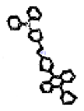 C1=CC(N(c2ccccc2)c2ccc(/C=C/C3C=CC(c4c5ccccc5c(-c5ccccc5)c5ccccc45)=CC3)cc2)=CCC1